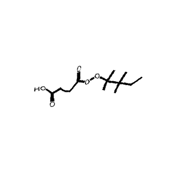 CCC(C)(C)C(C)(C)OOC(=O)CCC(=O)O